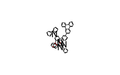 c1ccc(-c2nc(-c3ccccc3)nc(-c3ccc(-c4ccc5c6ccccc6c6ccccc6c5c4)cc3-c3cc(-n4c5ccccc5c5ccccc54)cc4c3sc3ccccc34)n2)cc1